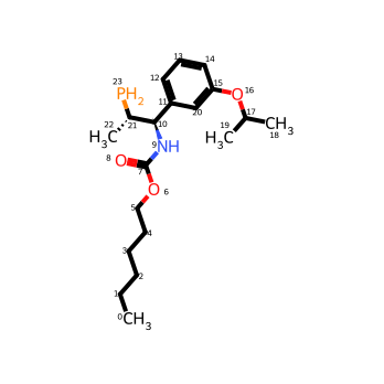 CCCCCCOC(=O)N[C@H](c1cccc(OC(C)C)c1)[C@H](C)P